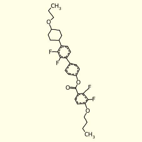 CCCCOc1ccc(C(=O)Oc2ccc(-c3ccc(C4CCC(OCCC)CC4)c(F)c3F)cc2)c(F)c1F